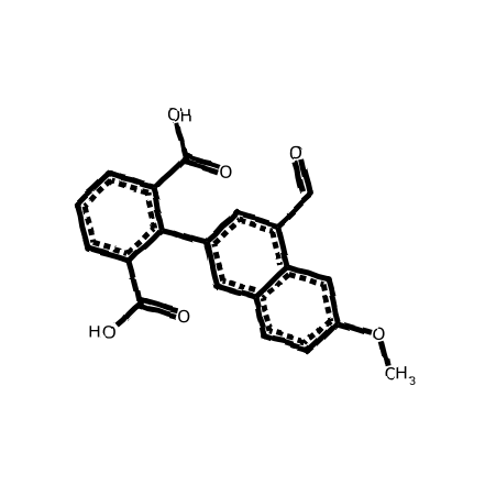 COc1ccc2cc(-c3c(C(=O)O)cccc3C(=O)O)cc(C=O)c2c1